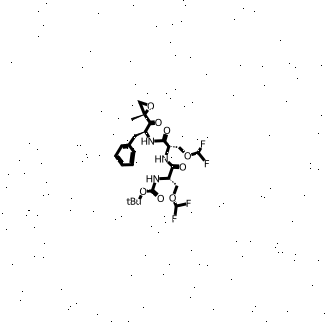 CC(C)(C)OC(=O)N[C@@H](COC(F)F)C(=O)N[C@@H](COC(F)F)C(=O)N[C@@H](Cc1ccccc1)C(=O)[C@]1(C)CO1